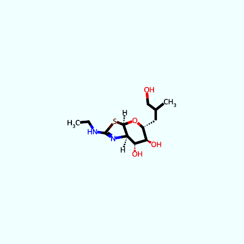 CCNC1=N[C@@H]2[C@@H](O)[C@H](O)[C@@H](CC(C)CO)O[C@@H]2S1